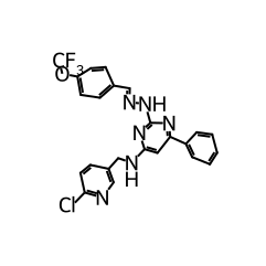 FC(F)(F)Oc1ccc(C=NNc2nc(NCc3ccc(Cl)nc3)cc(-c3ccccc3)n2)cc1